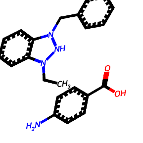 CCN1NN(Cc2ccccc2)c2ccccc21.Nc1ccc(C(=O)O)cc1